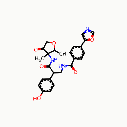 CC1OCC(=O)C1(C)NC(=O)C(CNC(=O)c1ccc(-c2cnco2)cc1)c1ccc(O)cc1